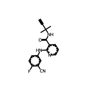 C#CC(C)(C)NC(=O)c1cccnc1Nc1ccc(F)c(C#N)c1